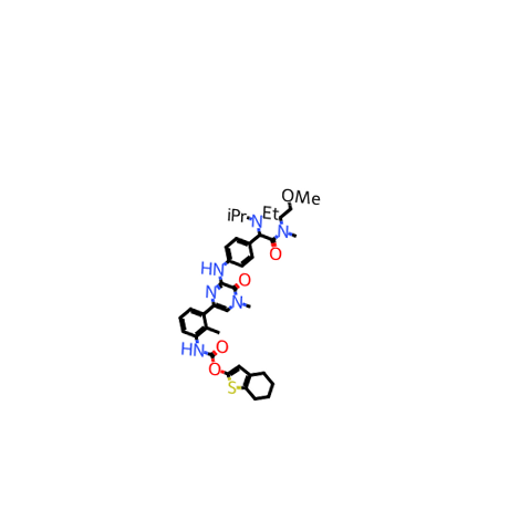 CCN(C(C)C)C(C(=O)N(C)CCOC)c1ccc(Nc2nc(-c3cccc(NC(=O)Oc4cc5c(s4)CCCC5)c3C)cn(C)c2=O)cc1